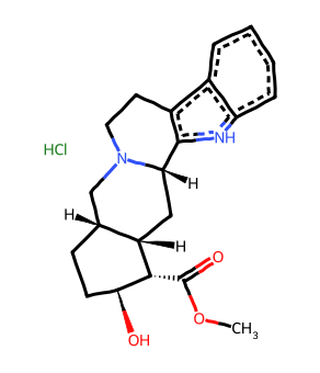 COC(=O)[C@H]1[C@H]2C[C@H]3c4[nH]c5ccccc5c4CCN3C[C@H]2CC[C@@H]1O.Cl